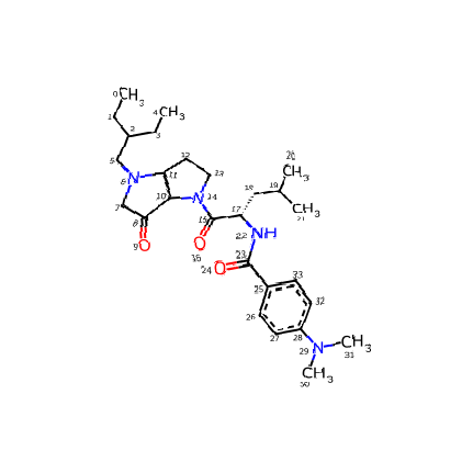 CCC(CC)CN1CC(=O)C2C1CCN2C(=O)[C@H](CC(C)C)NC(=O)c1ccc(N(C)C)cc1